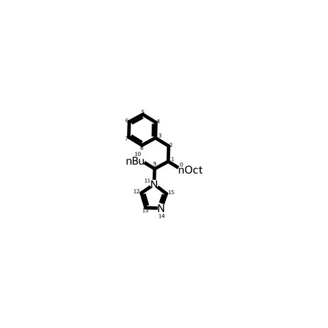 CCCCCCCCC(Cc1ccccc1)C(CCCC)n1ccnc1